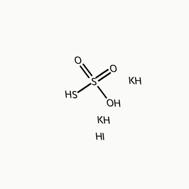 I.O=S(=O)(O)S.[KH].[KH]